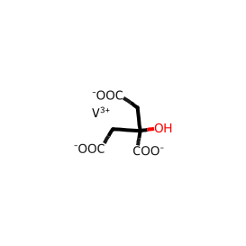 O=C([O-])CC(O)(CC(=O)[O-])C(=O)[O-].[V+3]